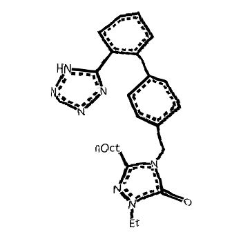 CCCCCCCCc1nn(CC)c(=O)n1Cc1ccc(-c2ccccc2-c2nnn[nH]2)cc1